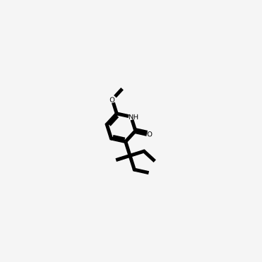 CCC(C)(CC)c1ccc(OC)[nH]c1=O